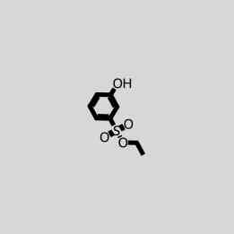 CCOS(=O)(=O)c1cccc(O)c1